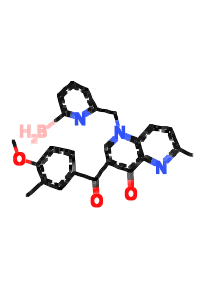 Bc1cccc(Cn2cc(C(=O)c3ccc(OC)c(C)c3)c(=O)c3nc(C)ccc32)n1